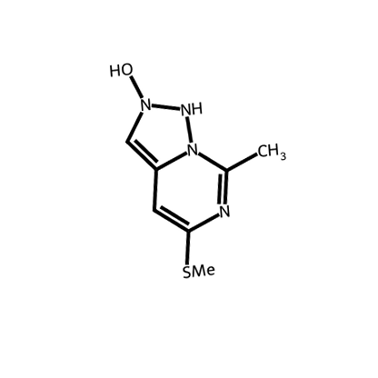 CSC1=CC2=CN(O)NN2C(C)=N1